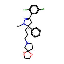 CC(=O)N1N=C(c2cc(F)ccc2F)C[C@]1(CCCN1CCC2(C1)OCCO2)c1ccccc1